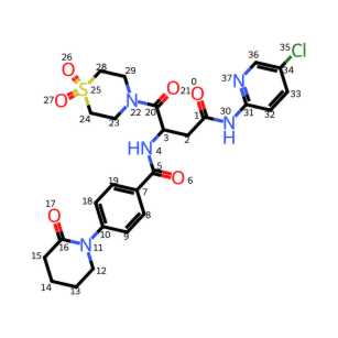 O=C(CC(NC(=O)c1ccc(N2CCCCC2=O)cc1)C(=O)N1CCS(=O)(=O)CC1)Nc1ccc(Cl)cn1